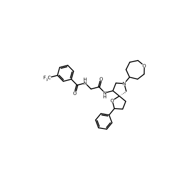 O=C(CNC(=O)c1cccc(C(F)(F)F)c1)NC1CN(C2CCCOCC2)C[C@@]12CCC(c1ccccc1)O2